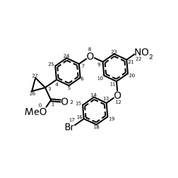 COC(=O)C1(c2ccc(Oc3cc(Oc4ccc(Br)cc4)cc([N+](=O)[O-])c3)cc2)CC1